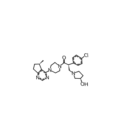 C[C@@H]1CCc2ncnc(N3CCN(C(=O)[C@H](CN4CC[C@@H](O)C4)c4ccc(Cl)cc4)CC3)c21